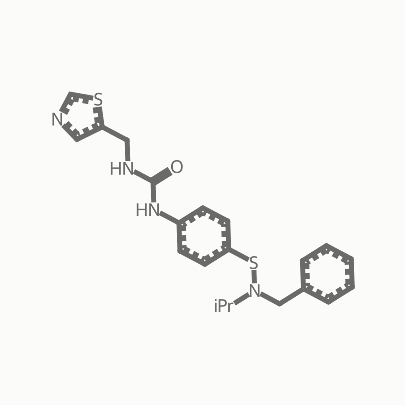 CC(C)N(Cc1ccccc1)Sc1ccc(NC(=O)NCc2cncs2)cc1